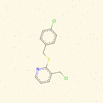 ClCc1cccnc1SCc1ccc(Cl)cc1